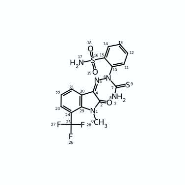 CN1C(=O)/C(=N\N(C(N)=S)c2ccccc2S(N)(=O)=O)c2cccc(C(F)(F)F)c21